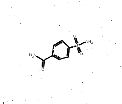 NC(=O)c1ccc(S(N)(=O)=O)cc1